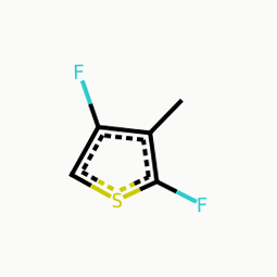 Cc1c(F)csc1F